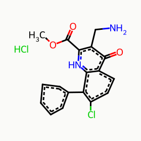 COC(=O)c1[nH]c2c(-c3ccccc3)c(Cl)ccc2c(=O)c1CN.Cl